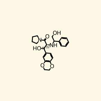 O=C([C@@H](NC(CO)c1ccccc1)[C@H](O)c1ccc2c(c1)OCCO2)N1CCCC1